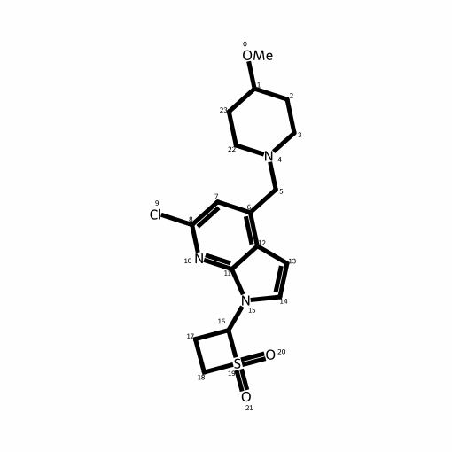 COC1CCN(Cc2cc(Cl)nc3c2ccn3C2CCS2(=O)=O)CC1